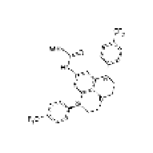 CSC(=O)Nc1cc2c3c(c1)[C@H](c1ccc(C(F)(F)F)cc1)CCN3CC[C@H]2c1ccc(C(F)(F)F)cc1